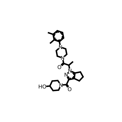 Cc1cccc(N2CCN(C(=O)C(C)n3nc(C(=O)N4CCC(O)CC4)c4c3CCC4)CC2)c1C